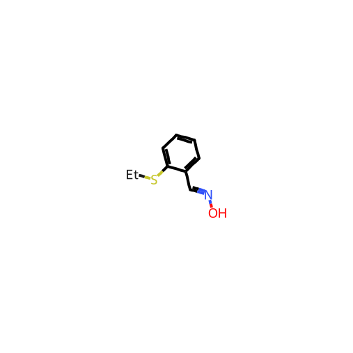 CCSc1ccccc1C=NO